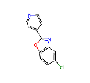 Clc1ccc2oc(-c3ccncc3)nc2c1